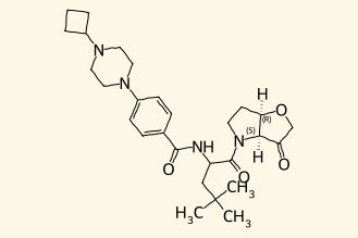 CC(C)(C)CC(NC(=O)c1ccc(N2CCN(C3CCC3)CC2)cc1)C(=O)N1CC[C@H]2OCC(=O)[C@H]21